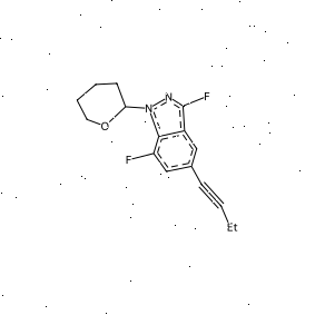 CCC#Cc1cc(F)c2c(c1)c(F)nn2C1CCCCO1